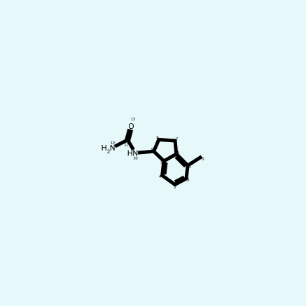 Cc1cccc2c1CCC2NC(N)=O